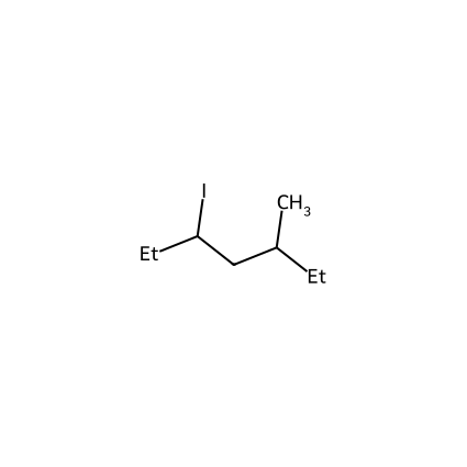 CCC(C)CC(I)CC